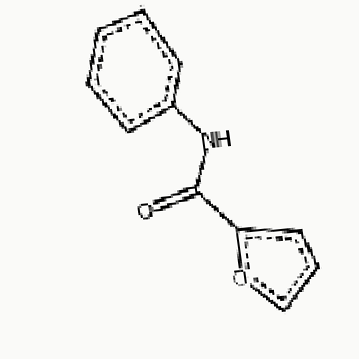 O=C(Nc1c[c]ccc1)c1ccco1